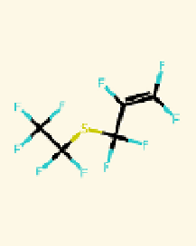 FC(F)=C(F)C(F)(F)SC(F)(F)C(F)(F)F